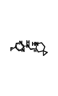 Fc1cnc(NC[C@@H]2CC3(CCN2)CC3)nc1